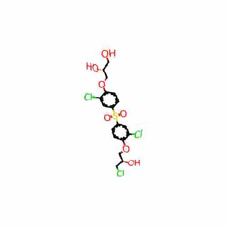 O=S(=O)(c1ccc(OC[C@H](O)CO)c(Cl)c1)c1ccc(OC[C@@H](O)CCl)c(Cl)c1